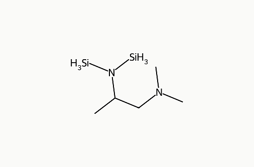 CC(CN(C)C)N([SiH3])[SiH3]